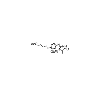 COc1c(OCCCCOC(C)=O)ccc2c1CN1C(=N2)NC(=O)C1C